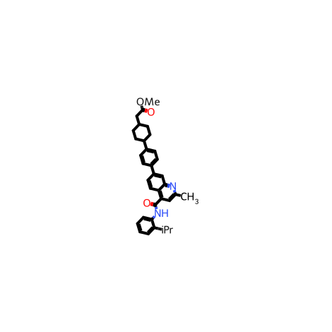 COC(=O)CC1CCC(c2ccc(-c3ccc4c(C(=O)Nc5ccccc5C(C)C)cc(C)nc4c3)cc2)CC1